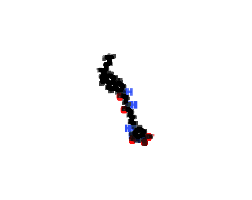 CC(C)CCCC(C)[C@H]1CCC2C3CC=C4C[C@@H](NC(=O)CCNC(=O)CCCCCNc5ccc([N+](=O)[O-])c6nonc56)CC[C@]4(C)C3CC[C@@]21C